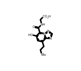 CC(C)(C)CCc1cc(O)c(C(=O)NCC(=O)O)n2ncnc12